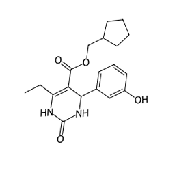 CCC1=C(C(=O)OCC2CCCC2)C(c2cccc(O)c2)NC(=O)N1